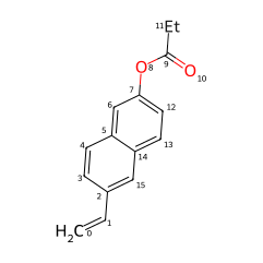 C=Cc1ccc2cc(OC(=O)CC)ccc2c1